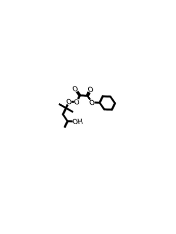 CC(O)CC(C)(C)OOC(=O)C(=O)OC1CCCCC1